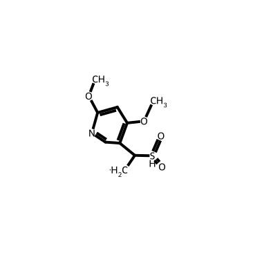 [CH2]C(c1cnc(OC)cc1OC)[SH](=O)=O